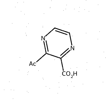 CC(=O)c1nccnc1C(=O)O